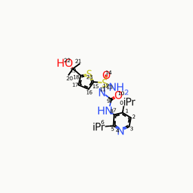 CC(C)c1ccnc(C(C)C)c1NC(=O)N=S(N)(=O)c1ccc(C(C)(C)O)s1